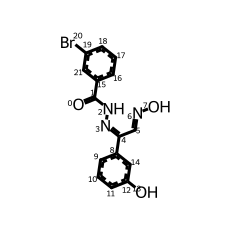 O=C(NN=C(C=NO)c1cccc(O)c1)c1cccc(Br)c1